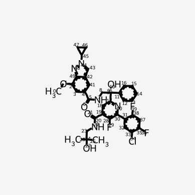 COc1cc(C(=O)NC[C@@](O)(c2ccccc2)c2cc(C(=O)NCC(C)(C)O)c(F)c(-c3cc(Cl)c(F)cc3F)n2)cc2cn(C3CC3)nc12